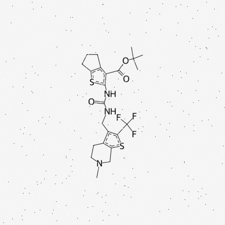 CN1CCc2c(sc(C(F)(F)F)c2CNC(=O)Nc2sc3c(c2C(=O)OC(C)(C)C)CCC3)C1